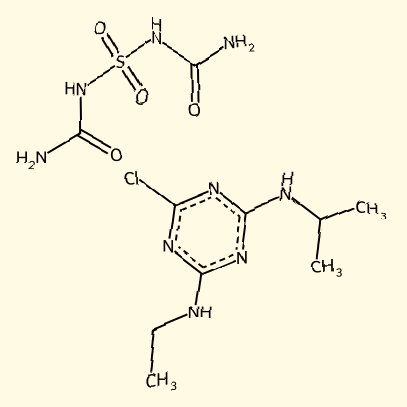 CCNc1nc(Cl)nc(NC(C)C)n1.NC(=O)NS(=O)(=O)NC(N)=O